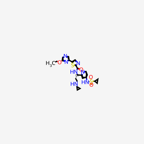 CCOc1cncc(-c2cnc(C(=O)N[C@@H](CCNC3CC3)c3cc(NS(=O)(=O)C4CC4)ccn3)s2)n1